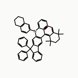 CC1(C)CCC(C)(C)c2c(-c3cc4c(cc3N(c3ccccc3)c3ccc5c(c3)CCCC5)C(c3ccccc3)(c3ccccc3)c3ccccc3-4)cccc21